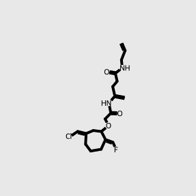 C=CCNC(=O)CCC(=C)NC(=O)COC1C/C(=C/Cl)CCC/C1=C\F